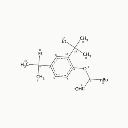 CCCCC([C]=O)Oc1ccc(C(C)(C)CC)cc1C(C)(C)CC